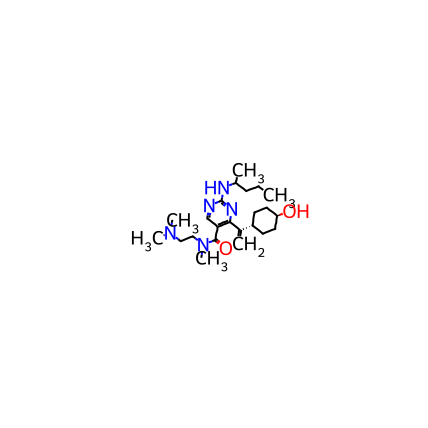 C=C(c1nc(NC(C)CCC)ncc1C(=O)N(C)CCN(C)C)[C@H]1CC[C@H](O)CC1